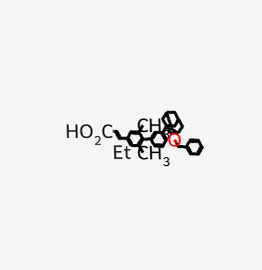 CCc1c(C=CC(=O)O)cc(C)c(-c2ccc(OCc3ccccc3)c(C34CC5CC(CC(C5)C3)C4)c2)c1C